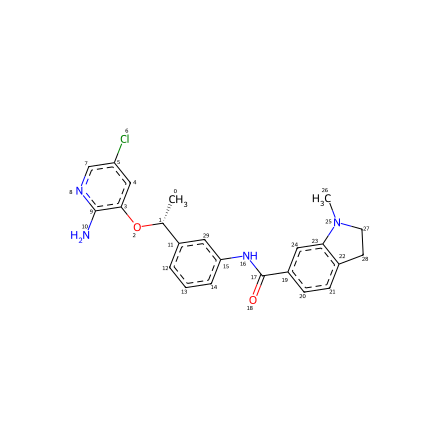 C[C@@H](Oc1cc(Cl)cnc1N)c1cccc(NC(=O)c2ccc3c(c2)N(C)CC3)c1